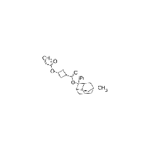 C=CC(=O)OC1CC(C(=O)OC2(C(C)C)C3CC4CC2CC(C)(C4)C3)C1